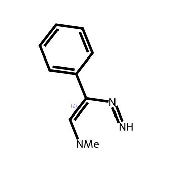 CN/C=C(\N=N)c1ccccc1